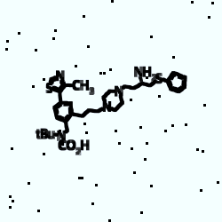 Cc1ncsc1-c1ccc(CN(C(=O)O)C(C)(C)C)c(CCCN2CCN(CC[C@@H](N)CSc3ccccc3)CC2)c1